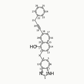 Oc1c(Cc2ccc3[nH]cnc3c2)ccc2ccc(C#CCc3ccccc3)cc12